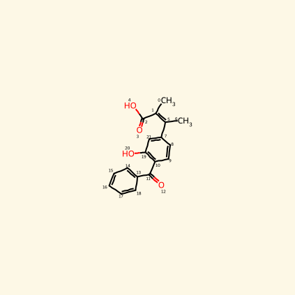 CC(C(=O)O)=C(C)c1ccc(C(=O)c2ccccc2)c(O)c1